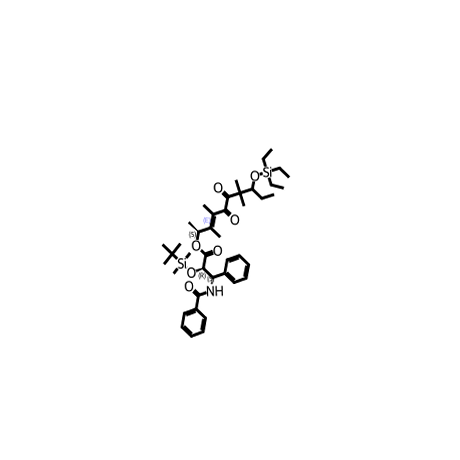 CCC(O[Si](CC)(CC)CC)C(C)(C)C(=O)C(=O)/C(C)=C(\C)[C@H](C)OC(=O)[C@H](O[Si](C)(C)C(C)(C)C)[C@@H](NC(=O)c1ccccc1)c1ccccc1